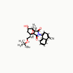 CC(C)(C)[Si](C)(C)OCC[C@@]12C[C@@H](O)[C@@](C)(O1)[C@H]1C(=O)N(c3ccc(C#N)c4ccccc34)C(=O)[C@H]12